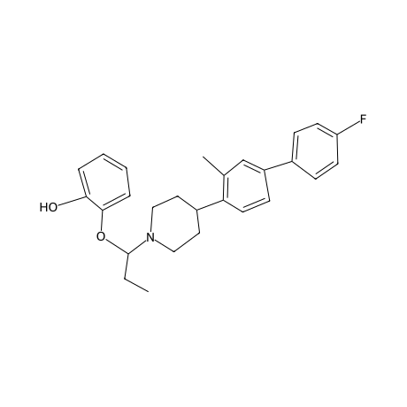 CCC(Oc1ccccc1O)N1CCC(c2ccc(-c3ccc(F)cc3)cc2C)CC1